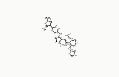 Cc1cn(C)c(-c2ccc(Cn3ncc4cnc(-c5c(OC6CCOC6)ncnc5C5CC5)nc43)cc2)n1